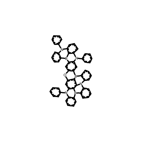 c1ccc(N2c3ccccc3B3c4cc5c(cc4N(c4ccccc4)c4cccc2c43)B2c3ccccc3N3c4ccccc4B4c6ccccc6N(c6ccccc6)c6cc(c2c3c64)O5)cc1